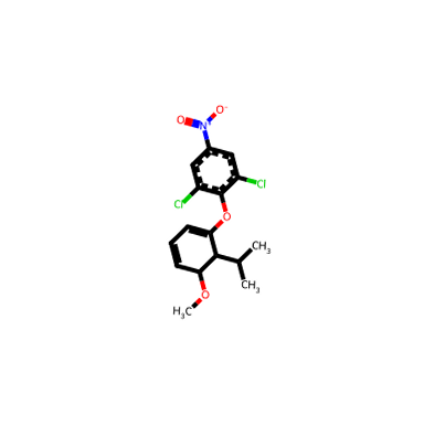 COC1C=CC=C(Oc2c(Cl)cc([N+](=O)[O-])cc2Cl)C1C(C)C